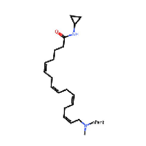 CCCCCN(C)C/C=C\C/C=C\C/C=C\C/C=C\CCCC(=O)NC1CC1